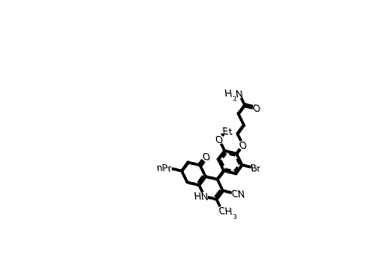 CCCC1CC(=O)C2=C(C1)NC(C)=C(C#N)C2c1cc(Br)c(OCCCC(N)=O)c(OCC)c1